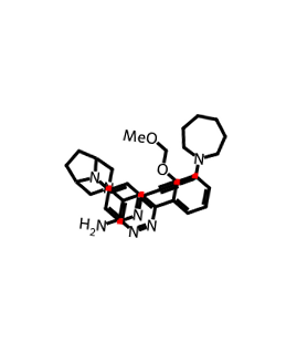 COCOc1ccccc1-c1cc(N2CC3CCC(C2)N3c2ccnc(C#CCN3CCCCCC3)c2)c(N)nn1